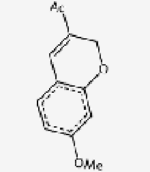 COc1ccc2c(c1)OCC(C(C)=O)=C2